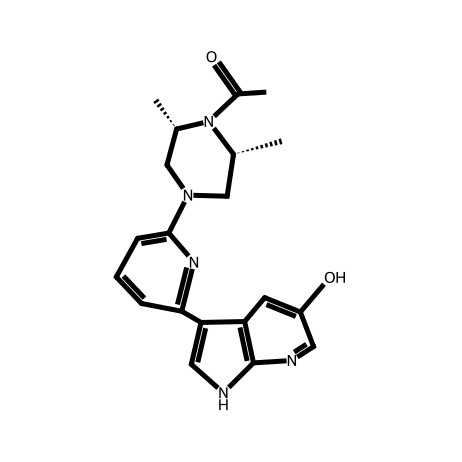 CC(=O)N1[C@H](C)CN(c2cccc(-c3c[nH]c4ncc(O)cc34)n2)C[C@@H]1C